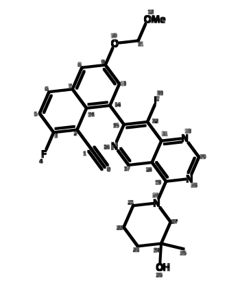 C#Cc1c(F)ccc2cc(OCOC)cc(-c3ncc4c(N5CCCC(C)(O)C5)ncnc4c3F)c12